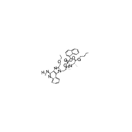 CCCCOC(=O)[C@H](C)NP(=O)(Oc1cccc2ccccc12)O[C@H](C)Cn1c(COCC)nc2c(N)nc3ccccc3c21